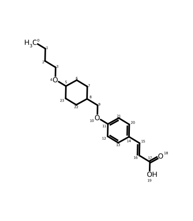 CCCCOC1CCC(COc2ccc(/C=C/C(=O)O)cc2)CC1